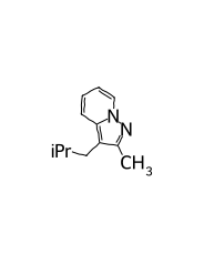 Cc1nn2ccccc2c1CC(C)C